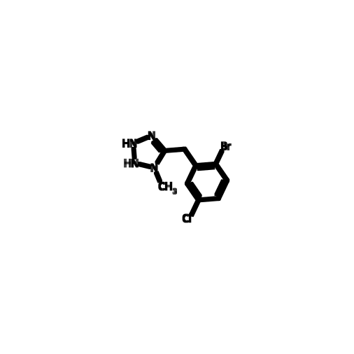 CN1NNN=C1Cc1cc(Cl)ccc1Br